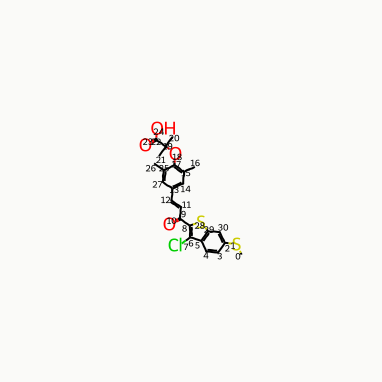 CSc1ccc2c(Cl)c(C(=O)/C=C/c3cc(C)c(OC(C)(C)C(=O)O)c(C)c3)sc2c1